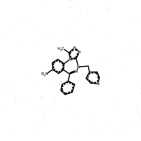 Cc1nnc2n1-c1ccc([N+](=O)[O-])cc1C(c1ccccc1)=NN2Cc1ccncc1